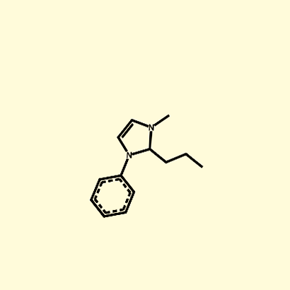 CCCC1N(C)C=CN1c1ccccc1